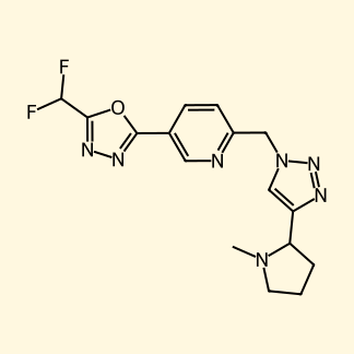 CN1CCCC1c1cn(Cc2ccc(-c3nnc(C(F)F)o3)cn2)nn1